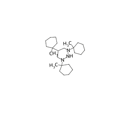 CC1(C2CN(C3(C)CCCCC3)NN(C3(C)CCCCC3)C2)CCCCC1